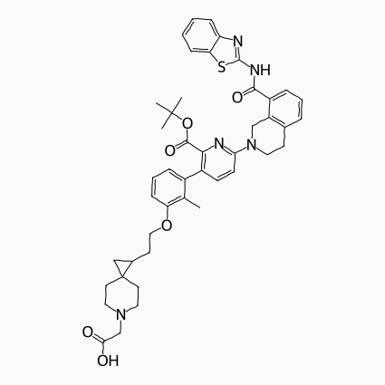 Cc1c(OCCC2CC23CCN(CC(=O)O)CC3)cccc1-c1ccc(N2CCc3cccc(C(=O)Nc4nc5ccccc5s4)c3C2)nc1C(=O)OC(C)(C)C